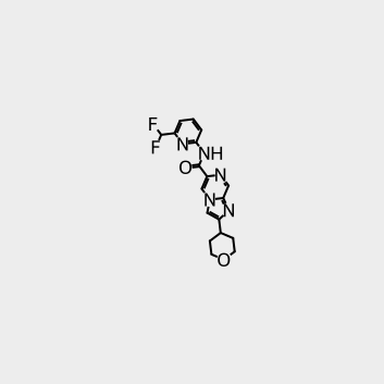 O=C(Nc1cccc(C(F)F)n1)c1cn2cc(C3CCOCC3)nc2cn1